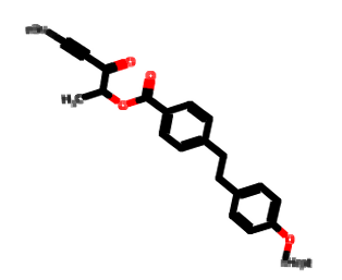 CCCCC#CC(=O)C(C)OC(=O)c1ccc(CCc2ccc(OCCCCCCC)cc2)cc1